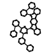 c1ccc(-c2cccc(-c3nc(-c4ccccc4-c4ccccc4)nc(-n4c5ccccc5c5cc6c7ccccc7n(-c7ccccc7-c7ccccc7)c6cc54)n3)c2)cc1